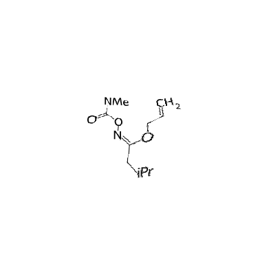 C=CCOC(CC(C)C)=NOC(=O)NC